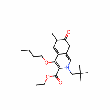 CCCCOC1=C(C(=O)OCC)N(CC(C)(C)C)C=C2CC(=O)C(C)C=C21